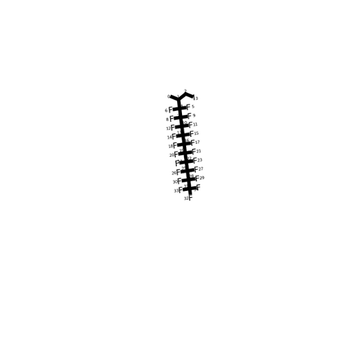 CC(CI)C(F)(F)C(F)(F)C(F)(F)C(F)(F)C(F)(F)C(F)(F)C(F)(F)C(F)(F)C(F)(F)C(F)(F)F